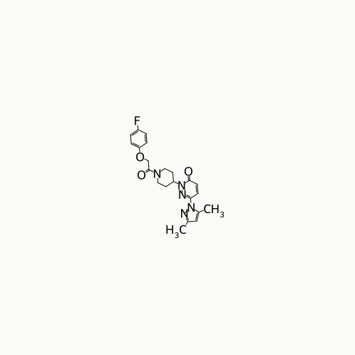 Cc1cc(C)n(-c2ccc(=O)n(C3CCN(C(=O)COc4ccc(F)cc4)CC3)n2)n1